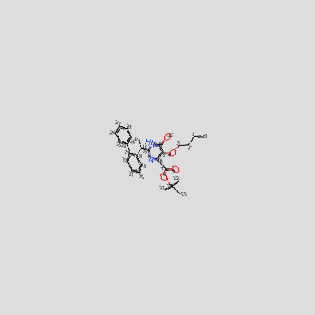 CCCCOc1c(C(=O)OC(C)(C)C)nc(C(C)c2ccccc2-c2ccccc2)[nH]c1=O